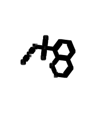 O=C=NS(=O)(=O)c1cccc2c1OSC=C2